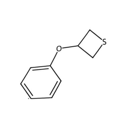 [c]1ccc(OC2CSC2)cc1